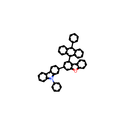 c1ccc(-c2c3ccccc3c(-c3cc(-c4ccc5c6ccccc6n(-c6ccccc6)c5c4)cc4oc5ccccc5c34)c3ccccc23)cc1